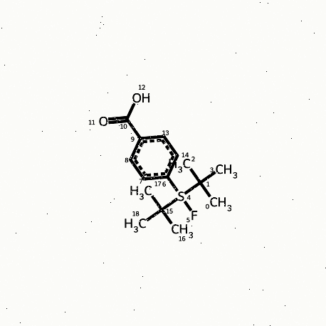 CC(C)(C)S(F)(c1ccc(C(=O)O)cc1)C(C)(C)C